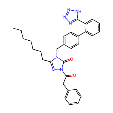 CCCCCCCc1nn(C(=O)Cc2ccccc2)c(=O)n1Cc1ccc(-c2ccccc2-c2nnn[nH]2)cc1